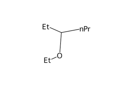 [CH2]CCC(CC)OCC